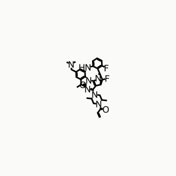 C=CC(=O)N1CC(C)N(c2nc(=O)n3c4nc(c(F)cc24)c2c(F)cccc2[nH]c2cc(CN(C)C)cc(C(C)C)c23)CC1C